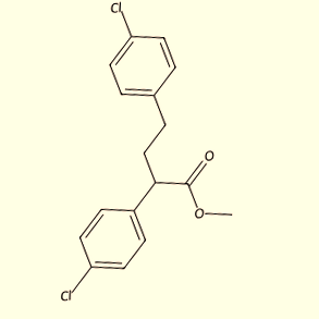 COC(=O)C(CCc1ccc(Cl)cc1)c1ccc(Cl)cc1